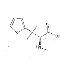 CN[C@H](C(=O)O)C(C)(C)c1cccs1